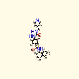 O=C(NCc1ccncc1)Nc1ccc([S+]([O-])NC2CCCc3ccccc32)cc1